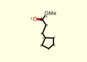 [CH2]OC(=O)CCC1CCCC1